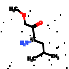 COCC(=O)[C@@H](N)CC(C)C